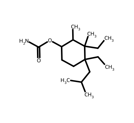 CCC1(CC(C)C)CCC(OC(N)=O)C(C)C1(C)CC